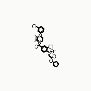 C[C@@H]1[C@@H](C)N(c2cccc(Cl)c2)CCN1C(=O)c1ccc([S+]([O-])CC(=O)OC2CCCC2)c(Cl)c1